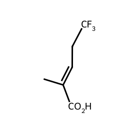 C/C(=C\CC(F)(F)F)C(=O)O